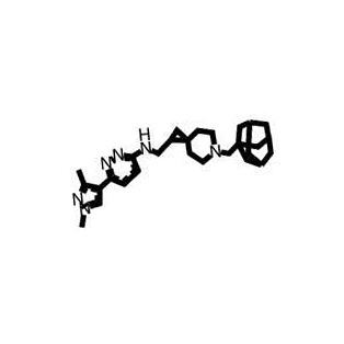 Cc1nn(C)cc1-c1ccc(NCC2CC23CCN(CC24CC5CC(CC(C5)C2)C4)CC3)nn1